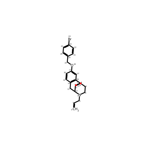 C=CCN1CCC23CCCCC2C1Cc1ccc(OCc2ccc(Br)cc2)cc13